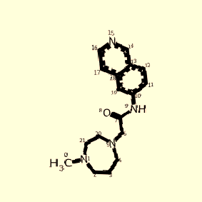 CN1CCCN(CC(=O)Nc2ccc3cnccc3c2)CC1